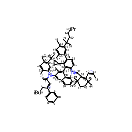 C=C(/C=C(\CC(C)CC)c1ccccc1)N(c1cc(C(C)(C)CCC)c(C)cc1C)c1cc2ccccc2c(-c2c(/N=C/C3=C(/C=C\C)C(C)(C)CCC3(C)C)ccc(-c3cc(C(C)(C)CCC(C)C)c(C)cc3C)c2C2CC2)c1C